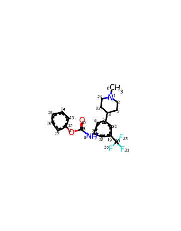 CN1CCC(c2cc(NC(=O)Oc3ccccc3)cc(C(F)(F)F)c2)CC1